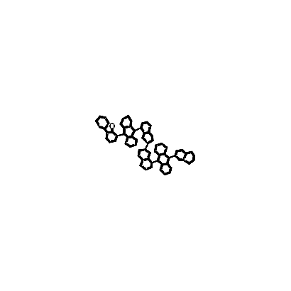 c1ccc2cc(-c3c4ccccc4c(-c4cccc5ccc(-c6ccc7cccc(-c8c9ccccc9c(-c9cccc%10c9oc9ccccc9%10)c9ccccc89)c7c6)cc45)c4ccccc34)ccc2c1